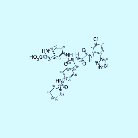 O=C(Nc1cc(Cl)ccc1-n1cnnn1)C(=O)NC(Cc1ccc(NC(=O)N2CCCCC2)cc1)C(=O)Nc1ccc2[nH]c(C(=O)O)cc2c1